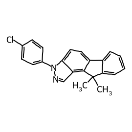 CC1(C)c2ccccc2-c2ccc3c(cnn3-c3ccc(Cl)cc3)c21